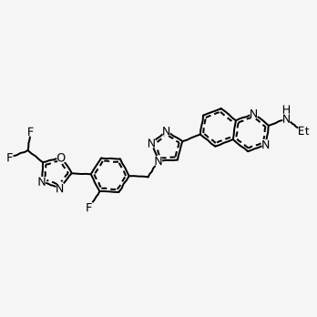 CCNc1ncc2cc(-c3cn(Cc4ccc(-c5nnc(C(F)F)o5)c(F)c4)nn3)ccc2n1